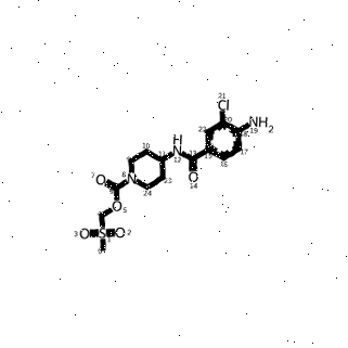 CS(=O)(=O)COC(=O)N1CCC(NC(=O)c2ccc(N)c(Cl)c2)CC1